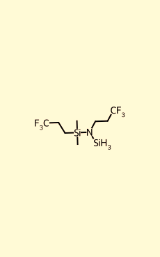 C[Si](C)(CCC(F)(F)F)N([SiH3])CCC(F)(F)F